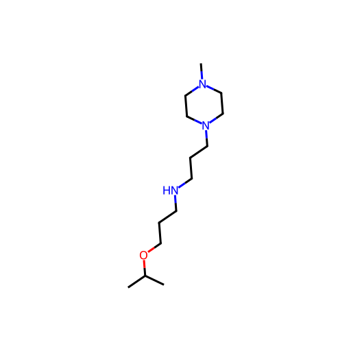 CC(C)OCCCNCCCN1CCN(C)CC1